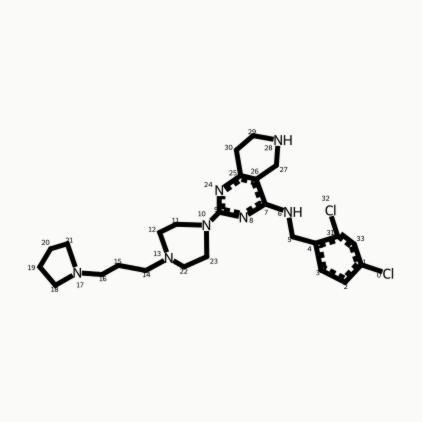 Clc1ccc(CNc2nc(N3CCN(CCCN4CCCC4)CC3)nc3c2CNCC3)c(Cl)c1